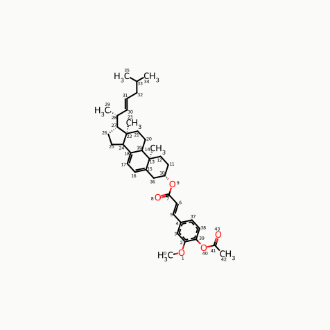 COc1cc(/C=C/C(=O)O[C@H]2CC[C@@]3(C)C(=CC=C4C3CC[C@@]3(C)C4CC[C@@H]3[C@H](C)/C=C/CC(C)C)C2)ccc1OC(C)=O